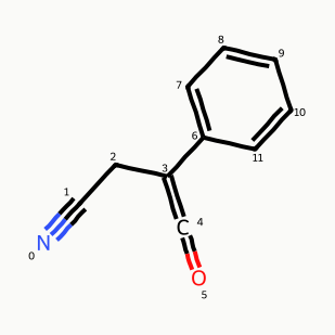 N#CCC(=C=O)c1ccccc1